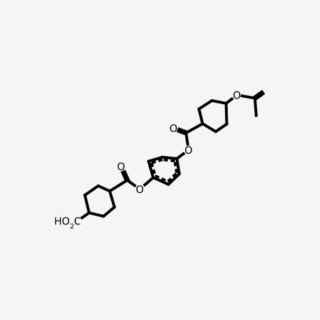 C=C(C)OC1CCC(C(=O)Oc2ccc(OC(=O)C3CCC(C(=O)O)CC3)cc2)CC1